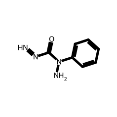 N=NC(=O)N(N)c1ccccc1